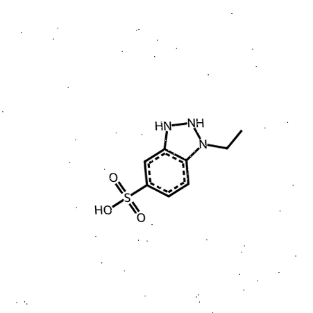 CCN1NNc2cc(S(=O)(=O)O)ccc21